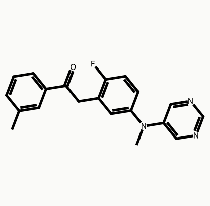 Cc1cccc(C(=O)Cc2cc(N(C)c3cncnc3)ccc2F)c1